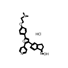 CN(C)CCOc1ccc(-c2cc(-c3ccc4c(c3)CCC4=NO)c(-c3ccncc3)o2)cc1.Cl